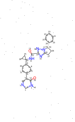 Cn1cncc(-c2ccc(C3(NC(=O)c4nc5n(n4)[C@H](c4ccccc4)CC5)CC3)cc2)c1=O